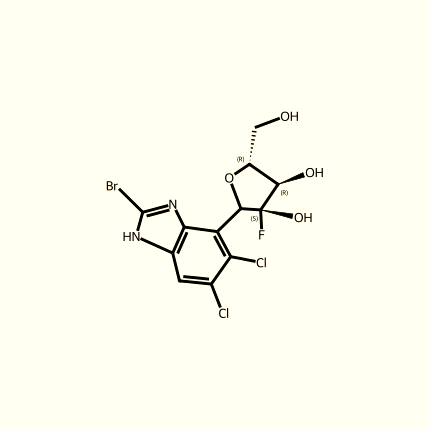 OC[C@H]1OC(c2c(Cl)c(Cl)cc3[nH]c(Br)nc23)[C@@](O)(F)[C@@H]1O